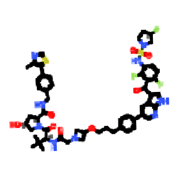 Cc1ncsc1-c1ccc(CNC(=O)[C@@H]2C[C@@H](O)CN2C(=O)[C@@H](NC(=O)CN2CC(OCCCc3ccc(-c4cnc5[nH]cc(C(=O)c6c(F)ccc(NS(=O)(=O)N7CC[C@@H](F)C7)c6F)c5c4)cc3)C2)C(C)(C)C)cc1